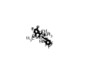 COc1ncc([C@@H](C)N(C)C(=O)c2cc3cc(F)c(F)cc3[nH]2)c2cc(F)c(F)cc12